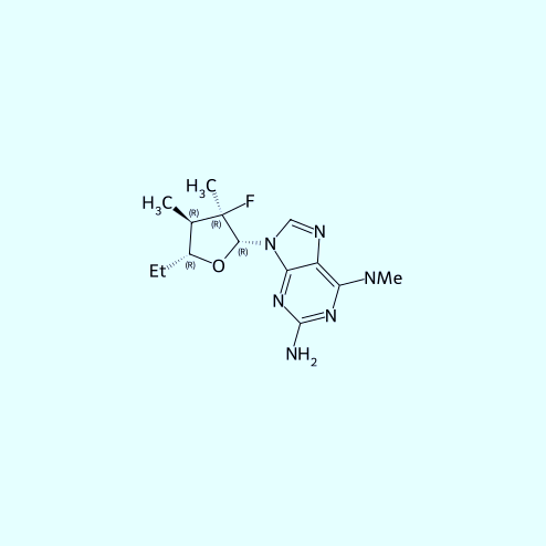 CC[C@H]1O[C@@H](n2cnc3c(NC)nc(N)nc32)[C@](C)(F)[C@@H]1C